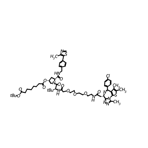 Cc1ncsc1-c1ccc(CNC(=O)[C@@H]2C[C@@H](OC(=O)CCCCCCC(=O)OC(C)(C)C)CN2C(=O)[C@@H](NC(=O)COCCOCCOCCNC(=O)C[C@@H]2N=C(c3ccc(Cl)cc3)c3c(sc(C)c3C)-n3c(C)nnc32)C(C)(C)C)cc1